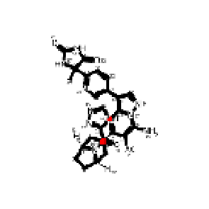 CC(=O)c1c([C@H]2C[C@H]3CC[C@@H](C2)N3C(=O)c2nnc[nH]2)nc2c(-c3ccc(C4(C)NC(=O)NC4=O)nc3)cnn2c1N